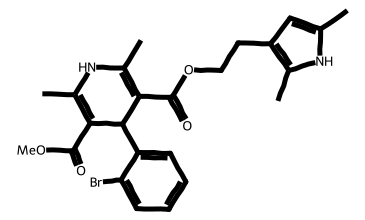 COC(=O)C1=C(C)NC(C)=C(C(=O)OCCc2cc(C)[nH]c2C)C1c1ccccc1Br